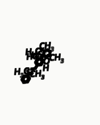 C=C(C)[C@H]1CCC(C)=C[C@@]1(S)c1c(O)cc(CC[Si](C)(C)c2ccccc2)cc1O